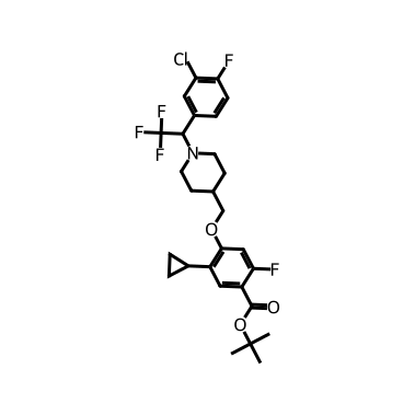 CC(C)(C)OC(=O)c1cc(C2CC2)c(OCC2CCN(C(c3ccc(F)c(Cl)c3)C(F)(F)F)CC2)cc1F